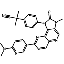 CN(C)c1ccc(-c2ccc3ncc4c(c3n2)n(-c2ccc(C(C)(C)C#N)cc2)c(=O)n4C)cn1